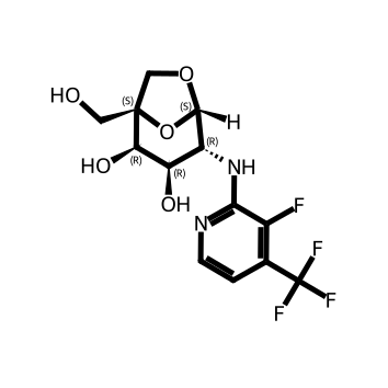 OC[C@@]12CO[C@@H](O1)[C@H](Nc1nccc(C(F)(F)F)c1F)[C@@H](O)[C@H]2O